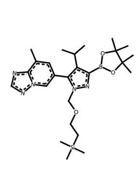 Cc1cc(-c2c(C(C)C)c(B3OC(C)(C)C(C)(C)O3)nn2COCC[Si](C)(C)C)cn2ncnc12